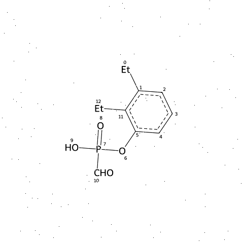 CCc1cccc(OP(=O)(O)C=O)c1CC